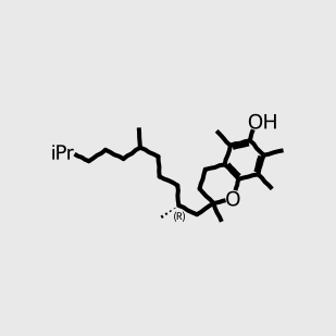 Cc1c(C)c2c(c(C)c1O)CCC(C)(C[C@H](C)CCCC(C)CCCC(C)C)O2